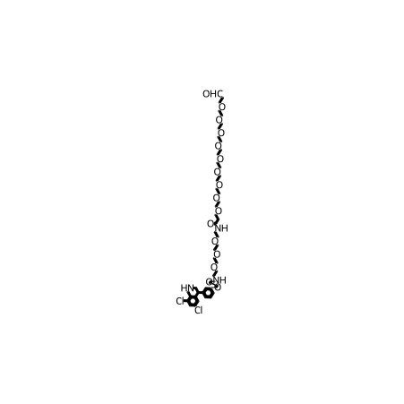 O=CCCOCCOCCOCCOCCOCCOCCOCCOCCOCCC(=O)NCCOCCOCCOCCNS(=O)(=O)c1cccc(C2CNCc3c(Cl)cc(Cl)cc32)c1